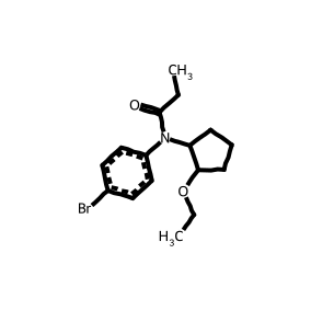 CCOC1CCCC1N(C(=O)CC)c1ccc(Br)cc1